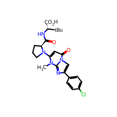 Cn1c(N2CCC[C@H]2C(=O)N[C@H](C(=O)O)C(C)(C)C)cc(=O)n2cc(-c3ccc(Cl)cc3)nc12